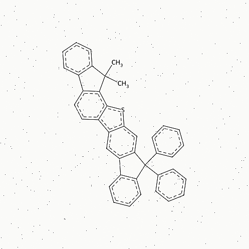 CC1(C)c2ccccc2-c2ccc3c(sc4cc5c(cc43)-c3ccccc3C5(c3ccccc3)c3ccccc3)c21